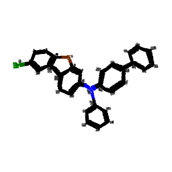 Brc1ccc2sc3cc(N(c4ccccc4)c4ccc(-c5ccccc5)cc4)ccc3c2c1